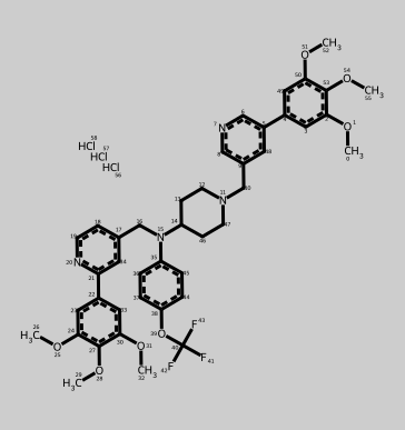 COc1cc(-c2cncc(CN3CCC(N(Cc4ccnc(-c5cc(OC)c(OC)c(OC)c5)c4)c4ccc(OC(F)(F)F)cc4)CC3)c2)cc(OC)c1OC.Cl.Cl.Cl